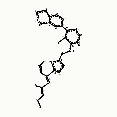 C\C=C/C(=C\C(C)=C\CC)c1ccc(CNc2ncnc(-c3ccc4ccccc4c3)c2C)s1